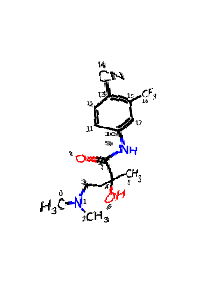 CN(C)CC(C)(O)C(=O)Nc1ccc(C#N)c(C(F)(F)F)c1